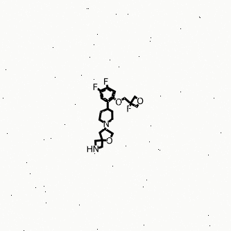 Fc1cc(OCC2(F)COC2)c(C2CCN([C@@H]3COC4(CNC4)C3)CC2)cc1F